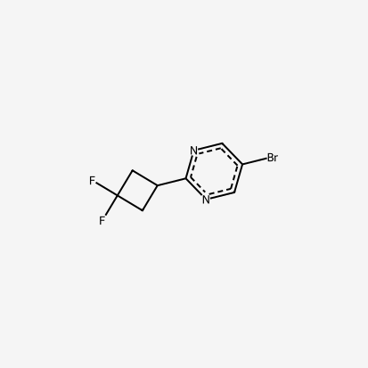 FC1(F)CC(c2ncc(Br)cn2)C1